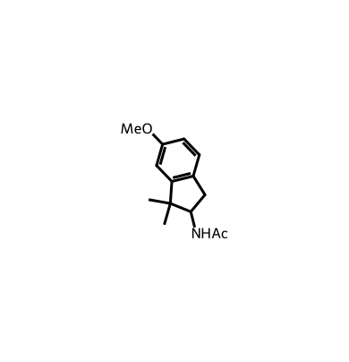 COc1ccc2c(c1)C(C)(C)C(NC(C)=O)C2